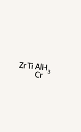 [AlH3].[Cr].[Ti].[Zr]